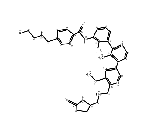 COc1nc(-c2ccnc(-c3cccc(NC(=O)c4ccc(CNCCO)cn4)c3C)c2C)cnc1CNCC1CCC(=O)N1